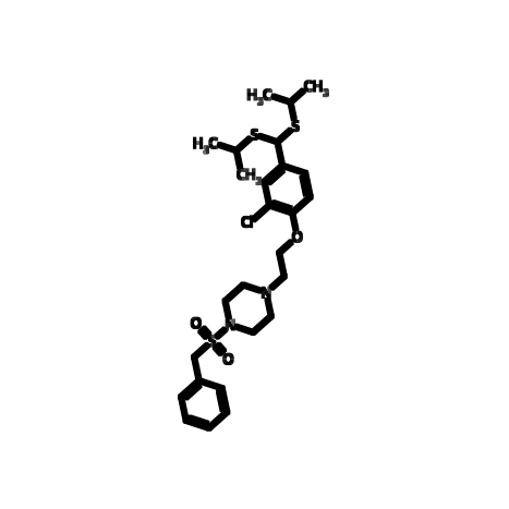 CC(C)SC(SC(C)C)c1ccc(OCCN2CCN(S(=O)(=O)Cc3ccccc3)CC2)c(Cl)c1